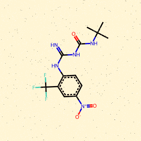 CC(C)(C)NC(=O)NC(=N)Nc1ccc([N+](=O)[O-])cc1C(F)(F)F